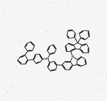 c1ccc(-c2ccccc2-c2ccc(N(c3ccccc3)c3cccc(-c4ccc5c6ccccc6n(-c6cccc7c6-c6ccccc6C7(c6ccccc6)c6ccccc6)c5c4)c3)cc2)cc1